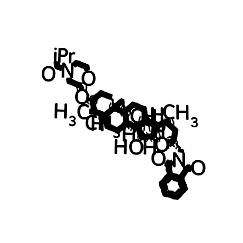 CC(C)C(=O)N1CCO[C@@H](O[C@H]2CC[C@]34C[C@]35CC[C@]3(C)[C@@H]6[C@H](O[C@@H](CN7C(=O)c8ccccc8C7=O)C[C@H]6C)[C@H](O)[C@@]3(C)[C@@H]5CC[C@H]4C2(C)C)C1